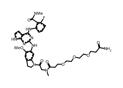 CNC(=O)c1c(F)cccc1Nc1nc(Nc2cc3c(cc2OC)CCN3C(=O)CN(C)C(=O)CCOCCOCCOCCC(N)=O)nc2[nH]ccc12